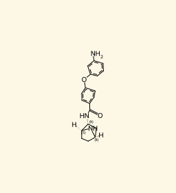 Nc1cccc(Oc2ccc(C(=O)N[C@@H]3C[C@H]4CC[C@@H]3N4)cc2)c1